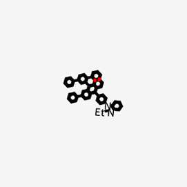 CCc1nc2ccccc2n1-c1ccc(-c2c3ccccc3c(-c3cc(-c4ccccc4)ccc3-c3ccccc3)c3cc(-c4ccccc4)ccc23)cc1